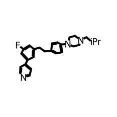 CC(C)CN1CCN(c2ccc(CCc3cc(F)cc(-c4ccncc4)c3)cc2)CC1